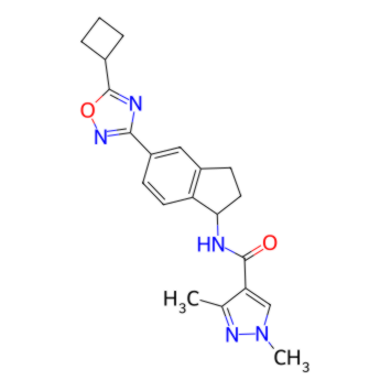 Cc1nn(C)cc1C(=O)NC1CCc2cc(-c3noc(C4CCC4)n3)ccc21